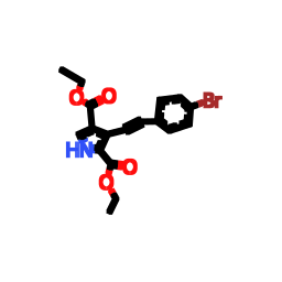 CCOC(=O)c1c[nH]c(C(=O)OCC)c1C#Cc1ccc(Br)cc1